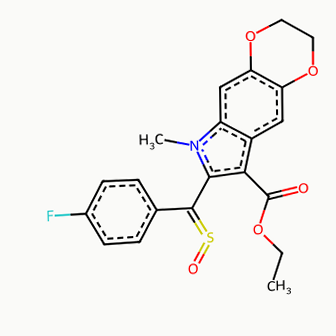 CCOC(=O)c1c(C(=S=O)c2ccc(F)cc2)n(C)c2cc3c(cc12)OCCO3